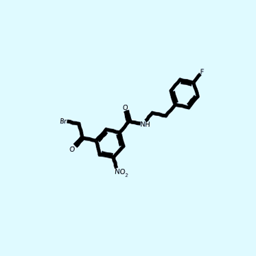 O=C(CBr)c1cc(C(=O)NCCc2ccc(F)cc2)cc([N+](=O)[O-])c1